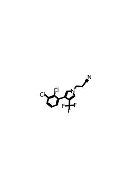 N#CCCn1cc(-c2cccc(Cl)c2Cl)c(C(F)(F)F)c1